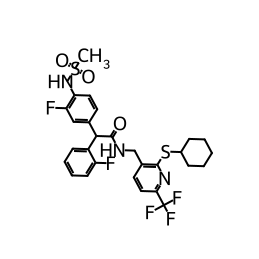 CS(=O)(=O)Nc1ccc(C(C(=O)NCc2ccc(C(F)(F)F)nc2SC2CCCCC2)c2ccccc2F)cc1F